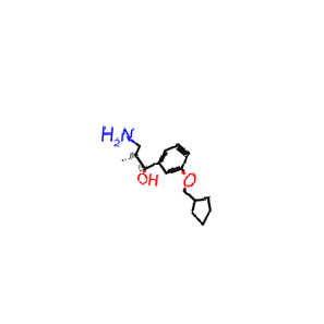 C[C@H](CN)[C@H](O)c1cccc(OCC2CCCC2)c1